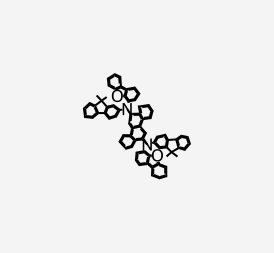 CC1(C)c2ccccc2-c2ccc(N(c3cc4c5ccccc5c(N(c5ccc6c(c5)C(C)(C)c5ccccc5-6)c5cccc6c5oc5ccccc56)cc4c4ccccc34)c3cccc4c3oc3ccccc34)cc21